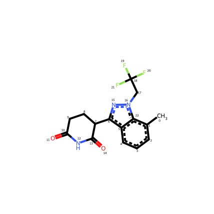 Cc1cccc2c(C3CCC(=O)NC3=O)nn(CC(F)(F)F)c12